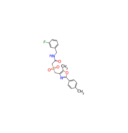 Cc1ccc(-c2nc(CS(=O)(=O)CC(=O)NCc3cccc(F)c3)c(C)o2)cc1